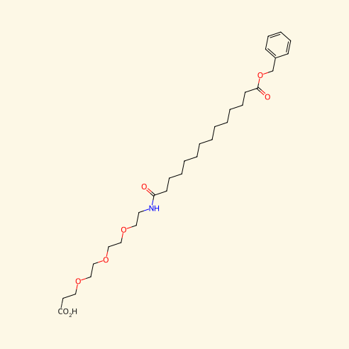 O=C(O)CCOCCOCCOCCNC(=O)CCCCCCCCCCCCC(=O)OCc1ccccc1